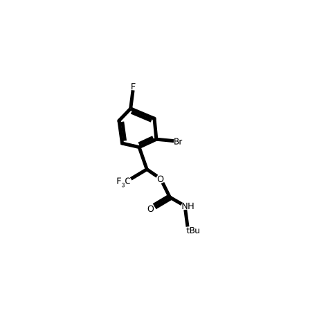 CC(C)(C)NC(=O)OC(c1ccc(F)cc1Br)C(F)(F)F